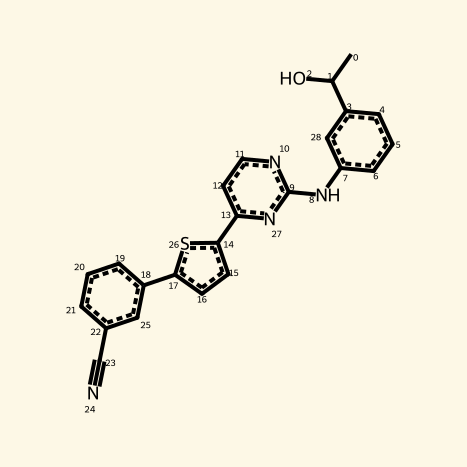 CC(O)c1cccc(Nc2nccc(-c3ccc(-c4cccc(C#N)c4)s3)n2)c1